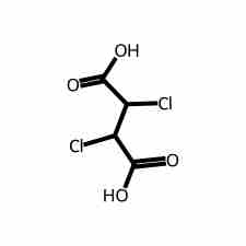 O=C(O)C(Cl)C(Cl)C(=O)O